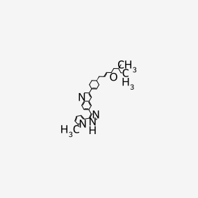 CCC(C)CC(=O)/C=C/C[C@H]1CC=C(c2cnc3ccc(-c4nc[nH]c4-c4cccc(C)n4)cc3c2)CC1